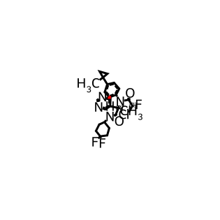 CC1(c2ccc(N(C(=O)[C@H](F)Cl)[C@@](C)(C(=O)NC3CCC(F)(F)CC3)c3cncnc3)cc2)CC1